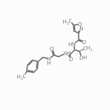 Cc1ccc(CNC(=O)CNC(=O)C(NC(=O)c2cc(C)on2)[C@@H](C)O)cc1